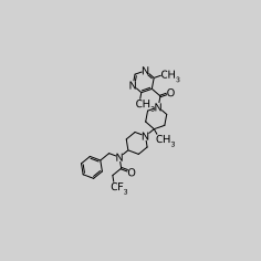 Cc1ncnc(C)c1C(=O)N1CCC(C)(N2CCC(N(Cc3ccccc3)C(=O)CC(F)(F)F)CC2)CC1